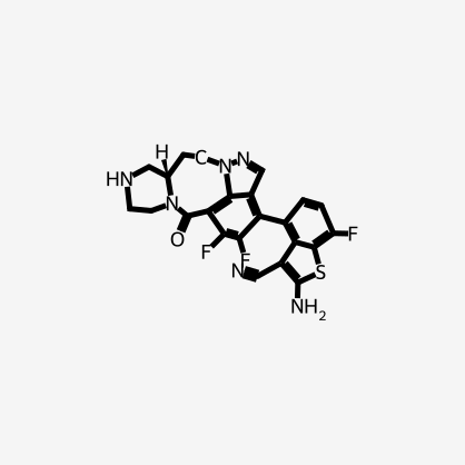 N#Cc1c(N)sc2c(F)ccc(-c3c(F)c(F)c4c5c3cnn5CC[C@H]3CNCCN3C4=O)c12